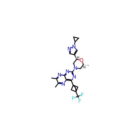 Cc1nc2nc(N3C[C@@H](C)O[C@H](c4cnn(C5CC5)c4)C3)nc(C34CC(C(F)(F)F)(C3)C4)c2nc1C